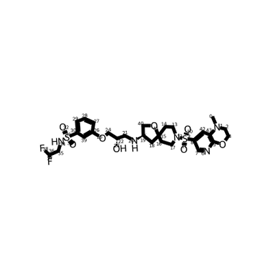 CN1CCOc2ncc(S(=O)(=O)N3CCC4(CC3)C[C@@H](NC[C@H](O)COc3cccc(S(=O)(=O)NCC(F)F)c3)CO4)cc21